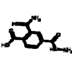 N=C(N)c1cc(C(=O)NN)ccc1C(=O)O